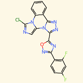 Fc1ccc(-c2noc(-c3nnc4c5ccccc5n5c(Cl)ncc5n34)n2)c(F)c1